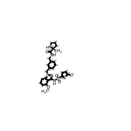 COc1cccc2c1c(NS(=O)(=O)c1ccc(Cl)s1)nn2Cc1cccc(CNC(=O)[C@@]2(C)CCCN2)c1